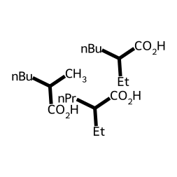 CCCC(CC)C(=O)O.CCCCC(C)C(=O)O.CCCCC(CC)C(=O)O